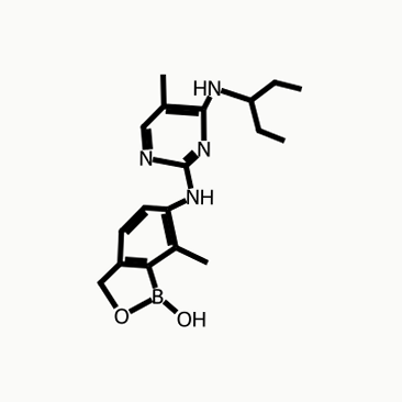 CCC(CC)Nc1nc(Nc2ccc3c(c2C)B(O)OC3)ncc1C